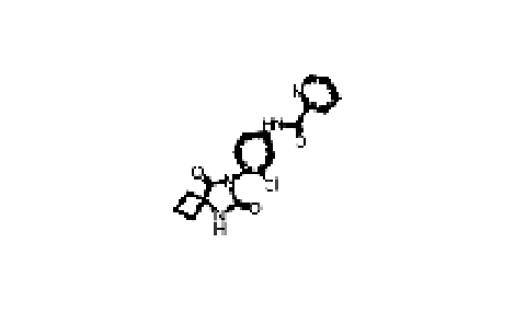 O=C(Nc1ccc(N2C(=O)NC3(CCC3)C2=O)c(Cl)c1)c1ccccn1